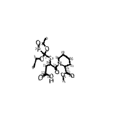 CCOC(OCC)(P=O)SC(CC(=O)O)C(=O)N1CCCCC1C(=O)OC